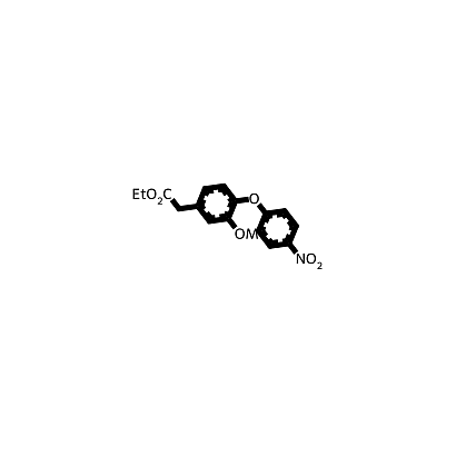 CCOC(=O)Cc1ccc(Oc2ccc([N+](=O)[O-])cc2)c(OC)c1